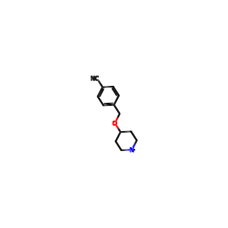 N#Cc1ccc(COC2CC[N]CC2)cc1